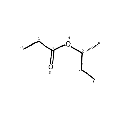 CCC(=O)O[C@H](C)CC